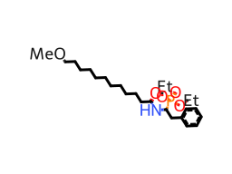 CCOP(=O)(OCC)C(Cc1ccccc1)NC(=O)CCCCCCCCCCCOC